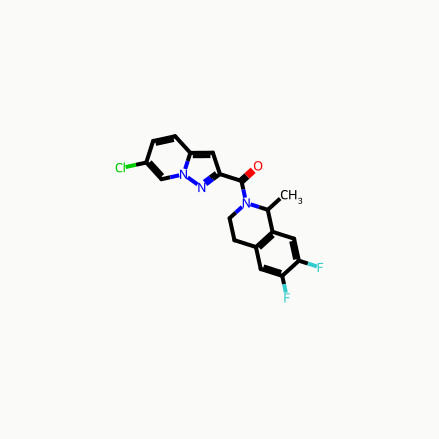 CC1c2cc(F)c(F)cc2CCN1C(=O)c1cc2ccc(Cl)cn2n1